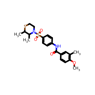 COc1ccc(C(=O)Nc2ccc(S(=O)(=O)N3CCSC(C)C3C)cc2)cc1C